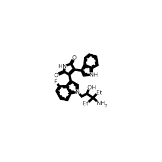 CCC(N)(CC)C(O)Cn1cc(C2=C(c3c[nH]c4ccccc34)C(=O)NC2=O)c2c(F)cccc21